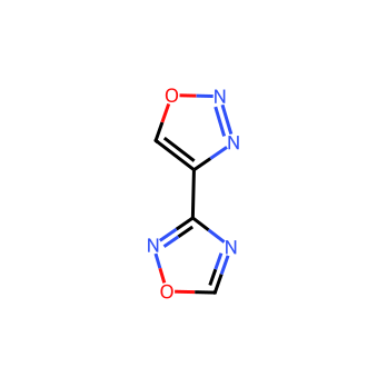 c1nc(-c2conn2)no1